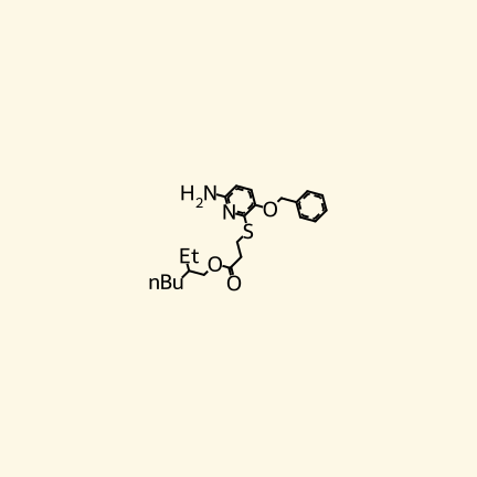 CCCCC(CC)COC(=O)CCSc1nc(N)ccc1OCc1ccccc1